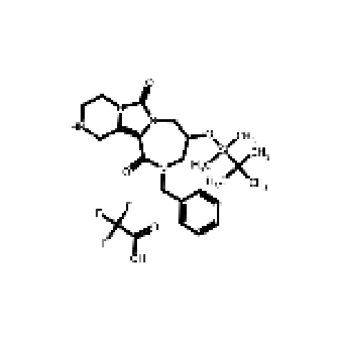 CC(C)(C)[Si](C)(C)OC1CN(Cc2ccccc2)C(=O)c2c3n(c(=O)n2C1)CCNC3.O=C(O)C(F)(F)F